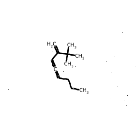 C=C(C=C=CCCC)C(C)(C)C